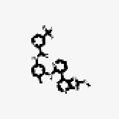 COc1nc2c(-c3cccnc3Nc3cc(NC(=O)c4cc(C(F)(F)F)ccn4)ccc3C)ncnc2[nH]1